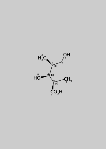 C[C@@H](CO)[C@H](O)[C@@H](C)C(=O)O